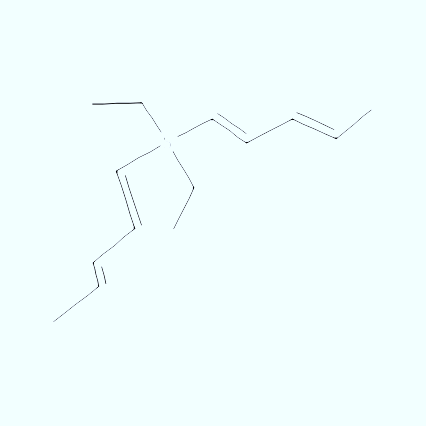 CC=CC=C[Si](C=CC=CC)(CC)CC